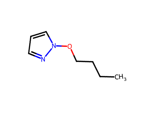 CCCCOn1cccn1